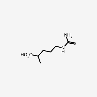 C=C(N)NCCCC(C)C(=O)O